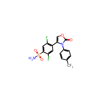 NS(=O)(=O)c1cc(F)c(-c2coc(=O)n2-c2ccc(C(F)(F)F)cc2)cc1F